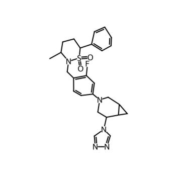 CC1CCC(c2ccccc2)S(=O)(=O)N1Cc1ccc(N2CC3CC3C(n3cnnc3)C2)cc1F